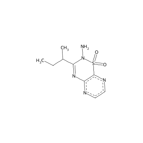 CCC(C)C1=Nc2nccnc2S(=O)(=O)N1N